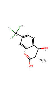 C[C@H](C(=O)O)[C@H](O)c1ccc(C(F)(F)F)cc1